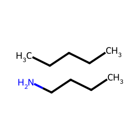 CCCCC.CCCCN